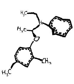 CCN(c1ccccc1)C(C)Oc1ccc(C)cc1C